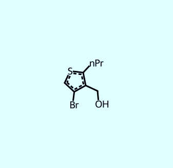 CCCc1scc(Br)c1CO